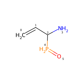 C=CC(N)[PH2]=O